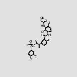 N#CCC(=O)Nc1c(Cl)ccc(NC(=O)c2cc(NC(=O)[C@H]3[C@H](c4ccc(Cl)c(Cl)c4)C3(Cl)Cl)ccc2Cl)c1Cl